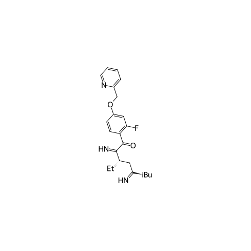 CC[C@@H](CC(=N)[C@H](C)CC)C(=N)C(=O)c1ccc(OCc2ccccn2)cc1F